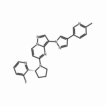 Cc1ccc(-c2cnn(-c3cnn4ccc(N5CCC[C@@H]5c5ncccc5F)nc34)c2)cn1